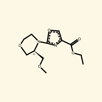 CCOC(=O)c1coc(N2CCOC[C@@H]2COC)n1